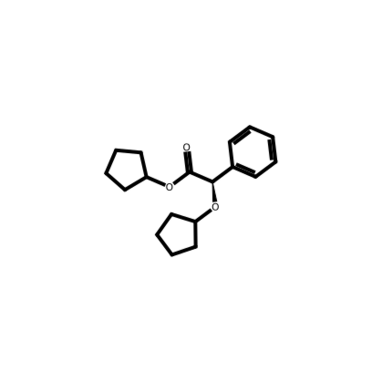 O=C(OC1CCCC1)[C@H](OC1CCCC1)c1ccccc1